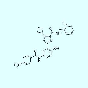 Cc1ccc(C(=O)Nc2ccc(O)c(-c3cc(C4CCC4)n(C(=O)NCc4ccccc4Cl)n3)c2)cc1